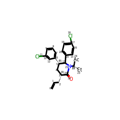 C=CC[C@@H]1C[C@H](c2cccc(Cl)c2)C(c2ccc(Cl)cc2)N([C@@H](CC)C(C)=O)C1=O